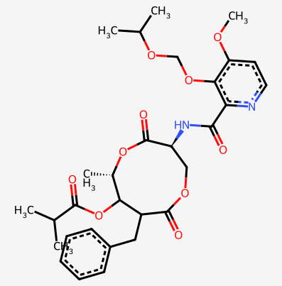 COc1ccnc(C(=O)N[C@H]2COC(=O)C(Cc3ccccc3)C(OC(=O)C(C)C)[C@H](C)OC2=O)c1OCOC(C)C